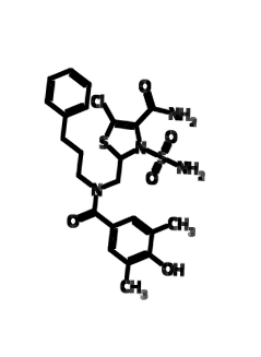 Cc1cc(C(=O)N(CCCc2ccccc2)CC2SC(Cl)=C(C(N)=O)N2S(N)(=O)=O)cc(C)c1O